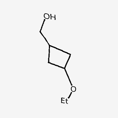 CCOC1CC(CO)C1